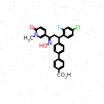 Cn1cc(C(CC(c2ccc(-c3ccc(C(=O)O)cc3)cc2)c2ccc(Cl)cc2F)=NO)ccc1=O